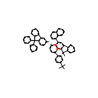 CC(C)(C)c1ccc(-c2ccc(N(c3ccc4c(c3)-c3ccccc3C4(c3ccccc3)c3ccccc3)c3ccc4ccccc4c3-c3ccc4c(c3)-c3ccccc3C4(C)C)cc2)cc1